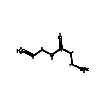 C=CCOC(=O)CCOC(C)=O